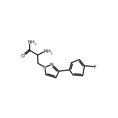 NC(=O)C(N)Cn1ccc(-c2ccc(F)cc2)n1